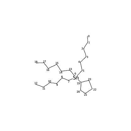 CCCCC[CH2][Sn]([CH2]CCCCC)([CH2]CCCCC)[CH]1CCCC1